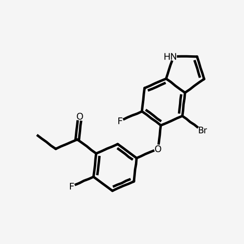 CCC(=O)c1cc(Oc2c(F)cc3[nH]ccc3c2Br)ccc1F